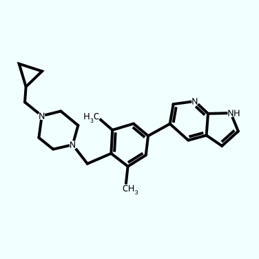 Cc1cc(-c2cnc3[nH]ccc3c2)cc(C)c1CN1CCN(CC2CC2)CC1